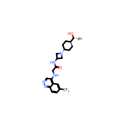 CC(C)[C@@H](O)[C@H]1CC[C@H](N2CC(NC(=O)CNc3cnnc4ccc(C(F)(F)F)cc34)C2)CC1